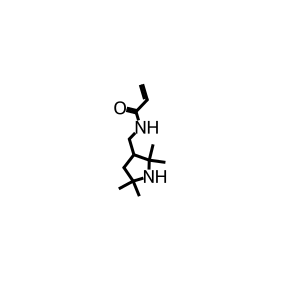 C=CC(=O)NCC1CC(C)(C)NC1(C)C